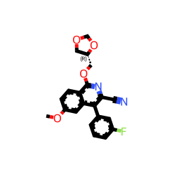 COc1ccc2c(OC[C@@H]3COCO3)nc(C#N)c(-c3cccc(F)c3)c2c1